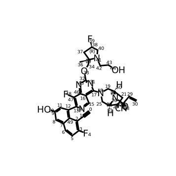 C#Cc1c(F)ccc2cc(O)cc(-c3ncc4c(N5C[C@H]6CC(C#N)[C@@H](C5)N6C(=O)C=C)nc(OC[C@]5(C)C[C@@H](F)CN5CCO)nc4c3F)c12